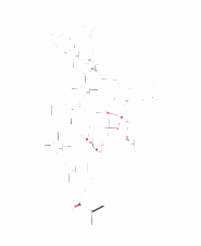 C=C(C)C(=O)OC[SiH2]O[Si](C)(C)CC[SiH2]O[Si](C)(C)CC[Si](O[Si](C)(C)C)(O[Si](C)(C)C)O[Si](C)(C)CC[Si](O[Si](C)(C)C)(O[Si](C)(C)C)O[Si](C)(C)C(O[Si](C)(C)C)(O[Si](C)(C)C)O[Si](C)(C)C